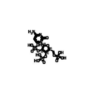 Nc1ccn([C@@H]2O[C@H](COP(=O)(O)O)[C@@H](OP(=O)(O)O)[C@H]2OP(=O)(O)O)c(=O)n1